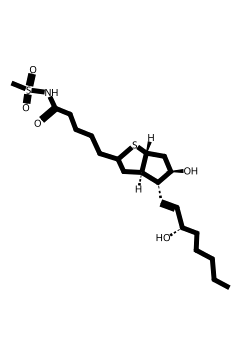 CCCCC[C@H](O)/C=C/[C@@H]1[C@H]2CC(CCCCC(=O)NS(C)(=O)=O)S[C@@H]2C[C@H]1O